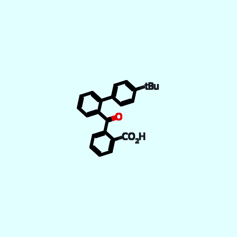 CC(C)(C)c1ccc(-c2ccccc2C(=O)c2ccccc2C(=O)O)cc1